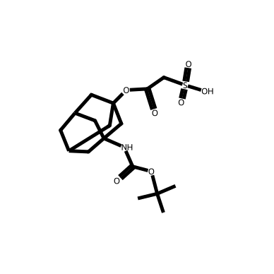 CC(C)(C)OC(=O)NC12CC3CC(C1)CC(OC(=O)CS(=O)(=O)O)(C3)C2